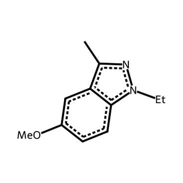 CCn1nc(C)c2cc(OC)ccc21